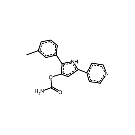 Cc1cccc(-c2[nH]c(-c3ccncc3)cc2OC(N)=O)c1